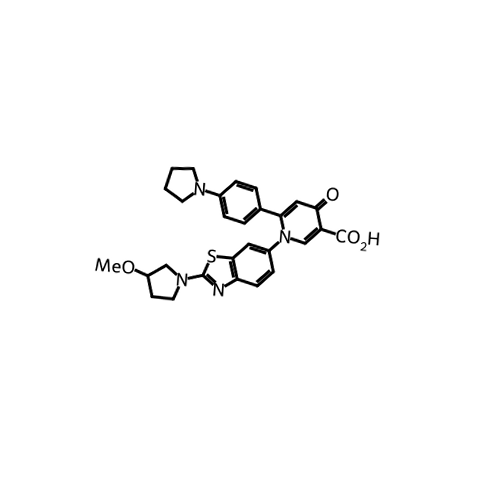 COC1CCN(c2nc3ccc(-n4cc(C(=O)O)c(=O)cc4-c4ccc(N5CCCC5)cc4)cc3s2)C1